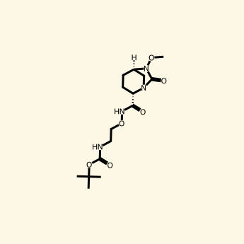 CON1C(=O)N2C[C@H]1CC[C@H]2C(=O)NOCCNC(=O)OC(C)(C)C